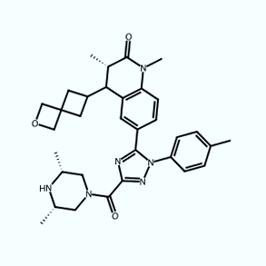 Cc1ccc(-n2nc(C(=O)N3C[C@@H](C)N[C@@H](C)C3)nc2-c2ccc3c(c2)C(C2CC4(COC4)C2)[C@H](C)C(=O)N3C)cc1